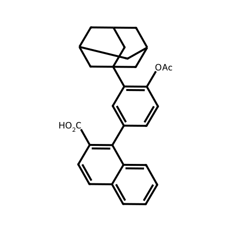 CC(=O)Oc1ccc(-c2c(C(=O)O)ccc3ccccc23)cc1C12CC3CC(CC(C3)C1)C2